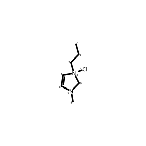 CCC[N+]1(Cl)C=CN(C)C1